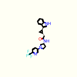 O=C(C[C@@H]1C[C@H]1c1c[nH]c2ccccc12)N[C@@H]1CCN(c2ccc(C(F)(F)F)nc2)C1